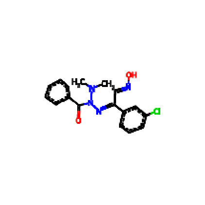 CN(C)N(N=C(C=NO)c1cccc(Cl)c1)C(=O)c1ccccc1